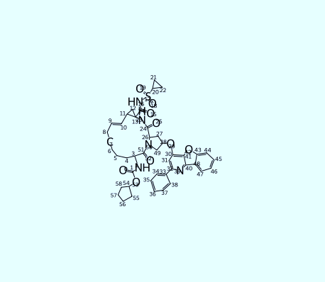 O=C(NC1CCCCC/C=C/C2CC2(C(=O)NS(=O)(=O)C2CC2)NC(=O)C2CC(Oc3cc(-c4ccccc4)nc4c3oc3ccccc34)CN2C1=O)OC1CCCC1